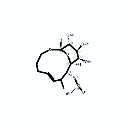 CC(=O)O[C@@H]1[C@H](OC(C)=O)[C@@H](OC(C)=O)[C@@H]2O[C@@H]1[C@H](N[S@+]([O-])C(C)(C)C)C(C)/C=C/CCCS2